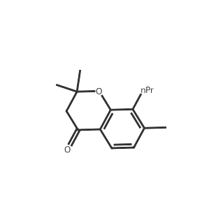 CCCc1c(C)ccc2c1OC(C)(C)CC2=O